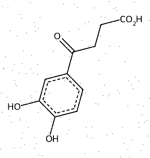 O=C(O)CCC(=O)c1ccc(O)c(O)c1